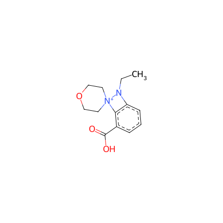 CCN1c2cccc(C(=O)O)c2[N+]12CCOCC2